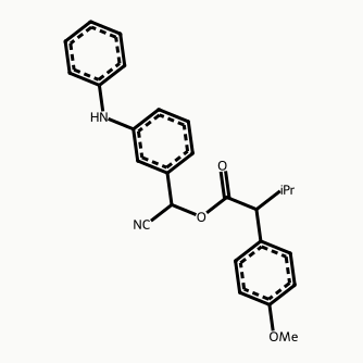 COc1ccc(C(C(=O)OC(C#N)c2cccc(Nc3ccccc3)c2)C(C)C)cc1